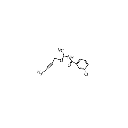 CC#CCOC(C#N)NC(=O)c1cccc(Cl)c1